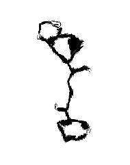 O=C(CCC(=O)c1ccc2c(c1)OCO2)c1cccnc1